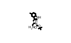 Cc1ccc2[nH]cc(C[C@@H](CN)NC(=O)OC(C)(C)C)c2c1